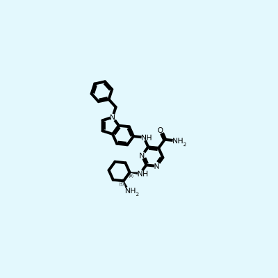 NC(=O)c1cnc(N[C@@H]2CCCC[C@@H]2N)nc1Nc1ccc2ccn(Cc3ccccc3)c2c1